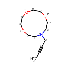 CC#CCN1CCOCCOCCOCC1